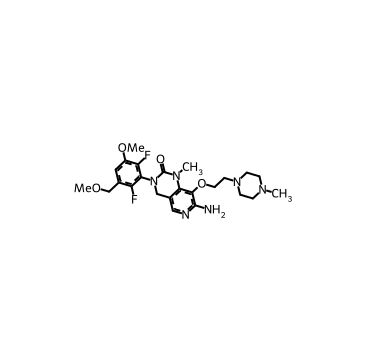 COCc1cc(OC)c(F)c(N2Cc3cnc(N)c(OCCN4CCN(C)CC4)c3N(C)C2=O)c1F